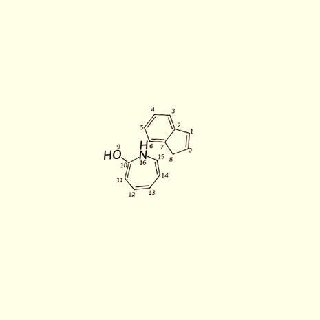 C1=Cc2ccccc2C1.OC1=CC=CC=CN1